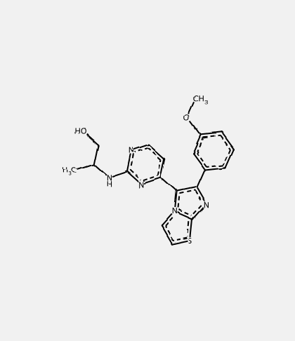 COc1cccc(-c2nc3sccn3c2-c2ccnc(NC(C)CO)n2)c1